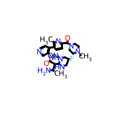 Cc1nc(C(=O)N2CCN(C)CC2)ccc1-c1ccncc1NC(=O)C(C(C)N)C1NCC(F)CN1N=O